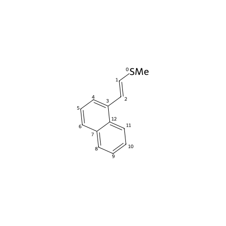 CS/C=C/c1cccc2ccccc12